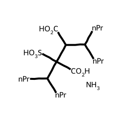 CCCC(CCC)C(C(=O)O)C(C(=O)O)(C(CCC)CCC)S(=O)(=O)O.N